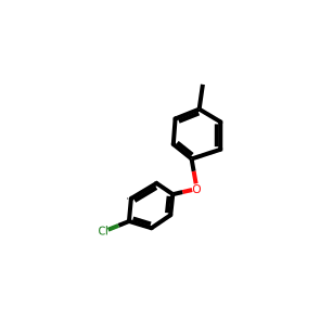 Cc1ccc(Oc2c[c]c(Cl)cc2)cc1